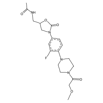 COCC(=O)N1CCN(c2ccc(N3CC(CNC(C)=O)OC3=O)cc2F)CC1